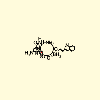 B[C@@H]1[C@@H](C)C(=O)C(C)C(=O)O[C@H](CC)[C@@]2(n3ccc(N)nc3=O)OC(=O)N[C@@H]2[C@@H](C)NC[C@H](C)C[C@@]1(C)OC/C=C/c1cnc2ccccc2c1